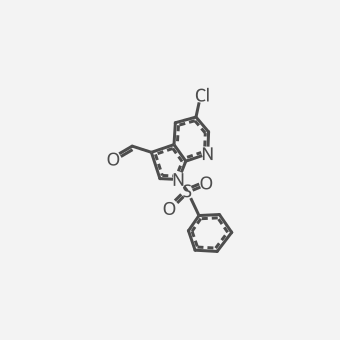 O=Cc1cn(S(=O)(=O)c2ccccc2)c2ncc(Cl)cc12